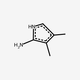 Cc1c[nH]c(N)c1C